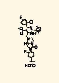 COC(=O)C1=C(CN2CCN3C(=O)N(c4ccc(C(C)(C)C(=O)O)cc4F)C[C@@H]3C2)NC(c2nccs2)=NC1c1ccc(F)cc1Cl